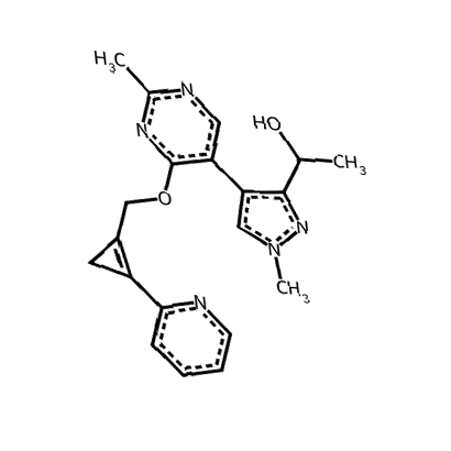 Cc1ncc(-c2cn(C)nc2C(C)O)c(OCC2=C(c3ccccn3)C2)n1